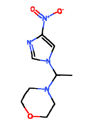 CC(N1CCOCC1)n1cnc([N+](=O)[O-])c1